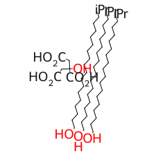 CC(C)CCCCCCCCCCCCCCCCCO.CC(C)CCCCCCCCCCCCCCCCCO.CC(C)CCCCCCCCCCCCCCCCCO.O=C(O)CC(O)(CC(=O)O)C(=O)O